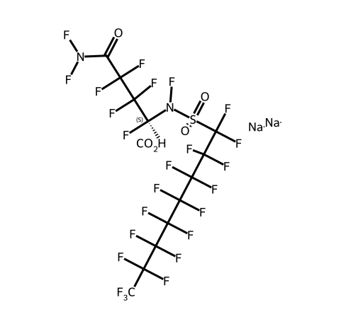 O=C(N(F)F)C(F)(F)C(F)(F)[C@@](F)(C(=O)O)N(F)S(=O)(=O)C(F)(F)C(F)(F)C(F)(F)C(F)(F)C(F)(F)C(F)(F)C(F)(F)C(F)(F)F.[Na].[Na]